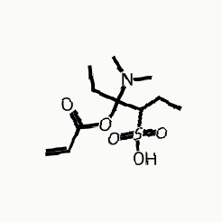 C=CC(=O)OC(CC)(C(CC)S(=O)(=O)O)N(C)C